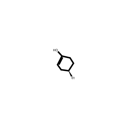 CC[C@H]1CC=C(O)CC1